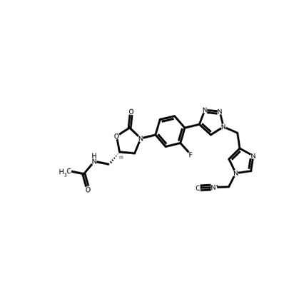 [C-]#[N+]Cn1cnc(Cn2cc(-c3ccc(N4C[C@H](CNC(C)=O)OC4=O)cc3F)nn2)c1